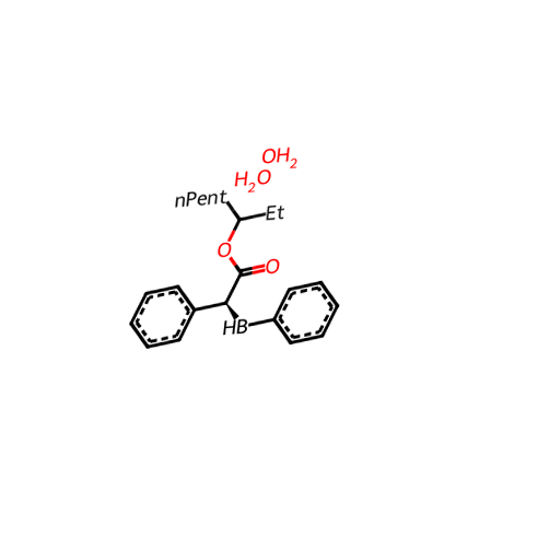 CCCCCC(CC)OC(=O)[C@@H](Bc1ccccc1)c1ccccc1.O.O